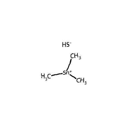 [CH3][Sn+]([CH3])[CH3].[SH-]